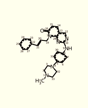 CN1CCN(c2ccc(Nc3ncc4ccc(=O)n(CC=Cc5ccccc5)c4n3)cc2)CC1